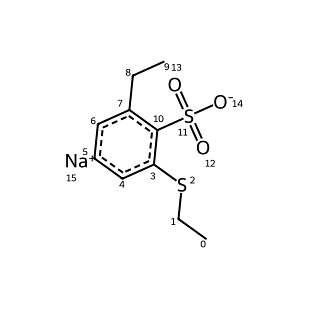 CCSc1cccc(CC)c1S(=O)(=O)[O-].[Na+]